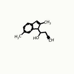 C#CCC(O)C1C(C)=Cc2ccc(C)cc21